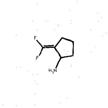 NC1CCCC1=C(F)F